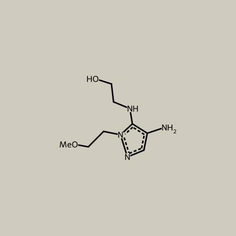 COCCn1ncc(N)c1NCCO